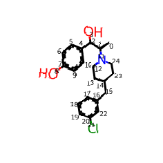 CC(C(O)c1ccc(O)cc1)N1CCC(Cc2cccc(Cl)c2)CC1